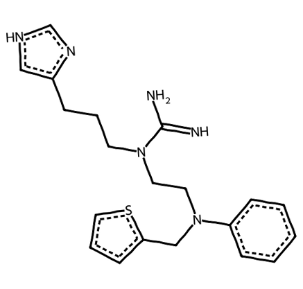 N=C(N)N(CCCc1c[nH]cn1)CCN(Cc1cccs1)c1ccccc1